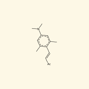 CC(=O)C=Cc1c(C)cc(N(C)C)cc1C